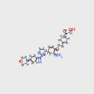 Nc1cc(-c2ccnc(Nc3ccc(N4CCOCC4)cc3)n2)ccc1OCCC1CCN(C(=O)CO)CC1